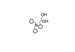 OCCC(O)Cc1ccccc1N(Cc1ccccc1)Cc1ccccc1